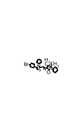 Cc1c(N=CC2SC=C(c3ccc(Br)cc3)N2c2ccccc2)c(=O)n(-c2ccccc2)n1C